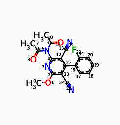 COc1nc(N(C(C)=O)C(C)=O)c(C#N)c(-c2ccccc2F)c1C#N